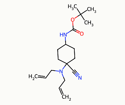 C=CCN(CC=C)C1(C#N)CCC(NC(=O)OC(C)(C)C)CC1